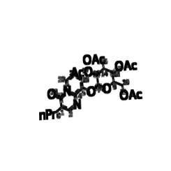 CCCc1cnc2c(O[C@@H]3OC(COC(C)=O)[C@@H](OC(C)=O)C(OC(C)=O)[C@@H]3OC(C)=O)cccn2c1=O